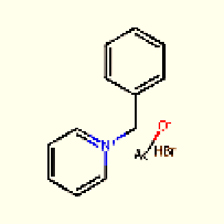 Br.CC(=O)[O-].c1ccc(C[n+]2ccccc2)cc1